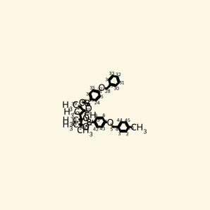 Cc1ccc(COc2ccc(B3OC(C)(C)C(C)(CC4(C)OB(c5ccc(OCc6ccccc6)cc5)OC4(C)C)O3)cc2)cc1